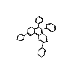 c1ccc(-c2ccc3c(-c4ccccc4)c(-c4ccccc4)c4ccc(-c5ccccc5)cc4c3c2)cc1